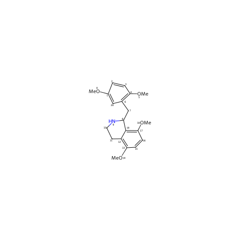 COc1ccc(OC)c(CC2NCCc3c(OC)ccc(OC)c32)c1